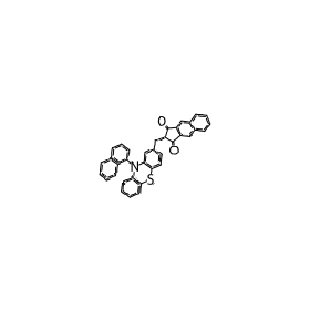 O=C1C(=Cc2ccc3c(c2)N(c2cccc4ccccc24)c2ccccc2S3)C(=O)c2cc3ccccc3cc21